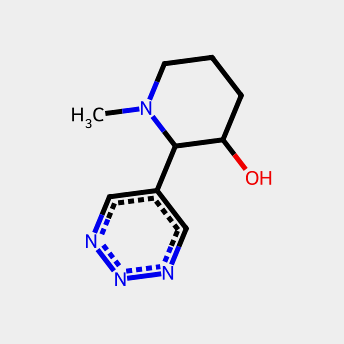 CN1CCCC(O)C1c1cnnnc1